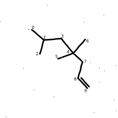 [CH2]C(C)CC(C)(C)CC=C